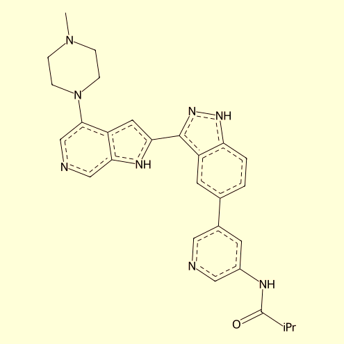 CC(C)C(=O)Nc1cncc(-c2ccc3[nH]nc(-c4cc5c(N6CCN(C)CC6)cncc5[nH]4)c3c2)c1